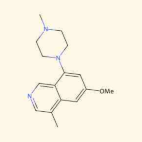 COc1cc(N2CCN(C)CC2)c2cncc(C)c2c1